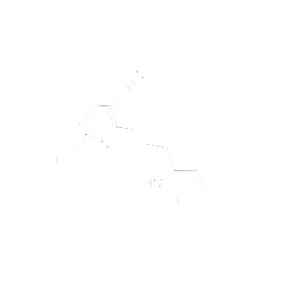 CCC(CCSc1nc(C)ccc1C#N)NC